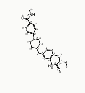 CC[C@H]1Oc2ccc(CC3CCN(c4ccc(C(=O)NC)nc4)CC3)cc2NC1=O